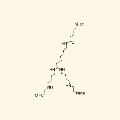 CCCCCCCCCCCCCCC(=O)NCCCCCCC(NCCCCNCCNC)NCCCCNCCNC